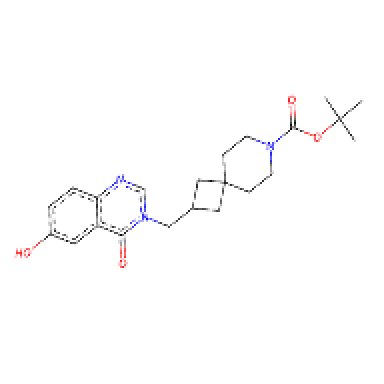 CC(C)(C)OC(=O)N1CCC2(CC1)CC(Cn1cnc3ccc(O)cc3c1=O)C2